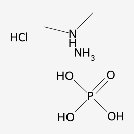 CNC.Cl.N.O=P(O)(O)O